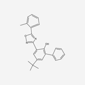 Cc1ccccc1-c1nc(-c2cc(C(C)(C)C)cc(-c3ccccc3)c2O)no1